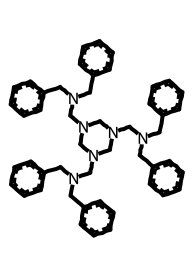 c1ccc(CN(Cc2ccccc2)CN2CN(CN(Cc3ccccc3)Cc3ccccc3)CN(CN(Cc3ccccc3)Cc3ccccc3)C2)cc1